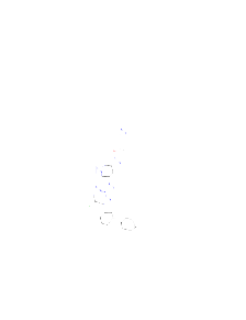 O=C1N(c2cncc(Nc3ncc(Cl)c(-c4cccc(-c5ccccc5)c4)n3)c2)CCC12CCN(CCCCCCCBr)CC2